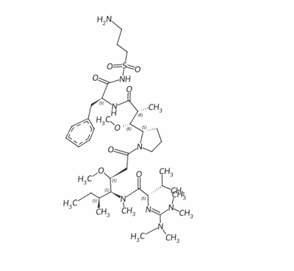 CC[C@H](C)[C@@H]([C@H](CC(=O)N1CCC[C@H]1[C@H](OC)[C@@H](C)C(=O)N[C@@H](Cc1ccccc1)C(=O)NS(=O)(=O)CCCN)OC)N(C)C(=O)[C@@H](N=C(N(C)C)N(C)C)C(C)C